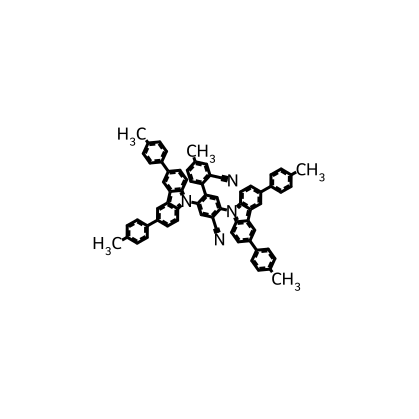 Cc1ccc(-c2ccc3c(c2)c2cc(-c4ccc(C)cc4)ccc2n3-c2cc(-c3ccc(C)cc3C#N)c(-n3c4ccc(-c5ccc(C)cc5)cc4c4cc(-c5ccc(C)cc5)ccc43)cc2C#N)cc1